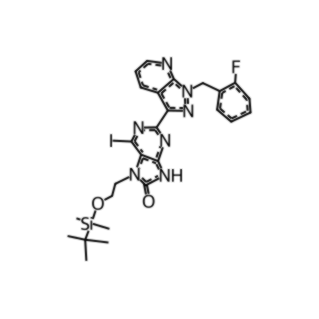 CC(C)(C)[Si](C)(C)OCCn1c(=O)[nH]c2nc(-c3nn(Cc4ccccc4F)c4ncccc34)nc(I)c21